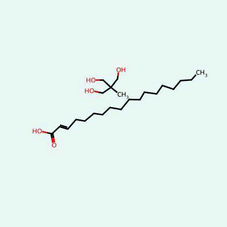 CC(CO)(CO)CO.CCCCCCCCCCCCCCCC=CC(=O)O